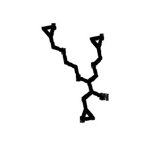 SC(CC1CS1)C(CSCC1CS1)SCCSCC1CS1